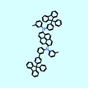 Cc1cccc(N(c2cccc(-c3ccc(C4(c5ccccc5)c5ccccc5-c5ccccc54)cc3)c2)c2ccc3ccc4c(N(c5cccc(C)c5)c5cccc(C6(c7ccccc7)c7ccccc7-c7ccccc76)c5)ccc5ccc2c3c54)c1